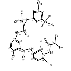 CC(F)(F)c1cc(C2C(C(=O)Nc3ccc(Cl)c(C(=O)Nc4ccc(F)c(NC(=O)C(F)F)c4F)c3)C2(Cl)Cl)cc(C(F)(F)F)c1